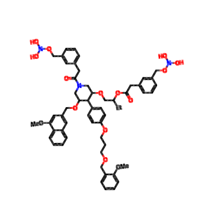 CCC(COC1CN(C(=O)Cc2cccc(CON(O)O)c2)CC(OCc2cc(OC)c3ccccc3c2)C1c1ccc(OCCCOCc2ccccc2OC)cc1)OC(=O)Cc1cccc(CON(O)O)c1